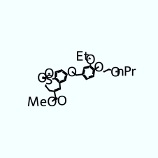 CCCOCCOc1ccc(COc2ccc3c(c2)C=C(C(=O)OC)CCS3(=O)=O)cc1OCC